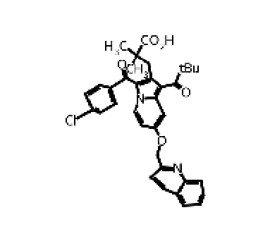 CC(C)(C)C(=O)c1c(CC(C)(C)C(=O)O)c(C(=O)c2ccc(Cl)cc2)n2ccc(OCc3ccc4ccccc4n3)cc12